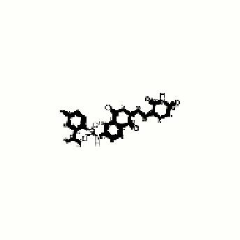 Cc1ccc(S(=O)(=O)Nc2ccc3c(c2)C(=O)CC(CCC2CCC(=O)NC2=O)C3=O)c(C(C)C)c1